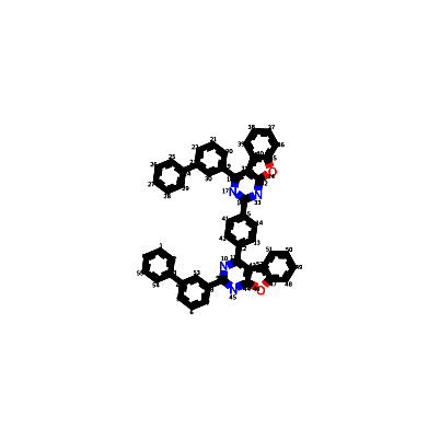 c1ccc(-c2cccc(-c3nc(-c4ccc(-c5nc(-c6cccc(-c7ccccc7)c6)c6c(n5)oc5ccccc56)cc4)c4c(n3)oc3ccccc34)c2)cc1